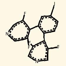 Fc1cncc(F)c1-c1ccc(I)cc1-c1c(F)cncc1F